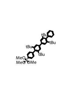 CO[Si](OC)(OC)c1ccc(-c2c(C(C)(C)C)cc(-c3cc(C(C)(C)C)c(-c4ccccc4)c(C(C)(C)C)c3)cc2C(C)(C)C)cc1